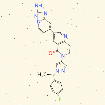 C[C@H](c1ccc(F)cc1)n1cc(N2CCc3ncc(-c4ccn5nc(N)nc5c4)cc3C2=O)cn1